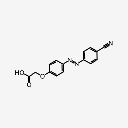 N#Cc1ccc(N=Nc2ccc(OCC(=O)O)cc2)cc1